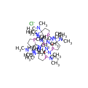 CN(C)P1CCC(N(C)C)(N(C)C)C1=N[P+](N=C1P(N(C)C)CCC1(N(C)C)N(C)C)(N=C1P(N(C)C)CCC1(N(C)C)N(C)C)N=C1P(N(C)C)CCC1(N(C)C)N(C)C.[Cl-]